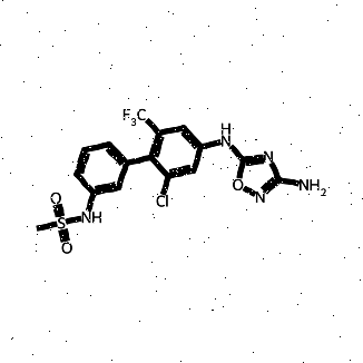 CS(=O)(=O)Nc1cccc(-c2c(Cl)cc(Nc3nc(N)no3)cc2C(F)(F)F)c1